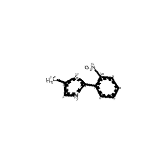 Cc1cnc(-c2ccccc2[N+](=O)[O-])s1